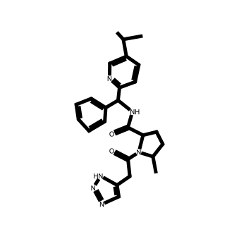 CC(C)c1ccc(C(NC(=O)C2CCC(C)N2C(=O)Cc2cnn[nH]2)c2ccccc2)nc1